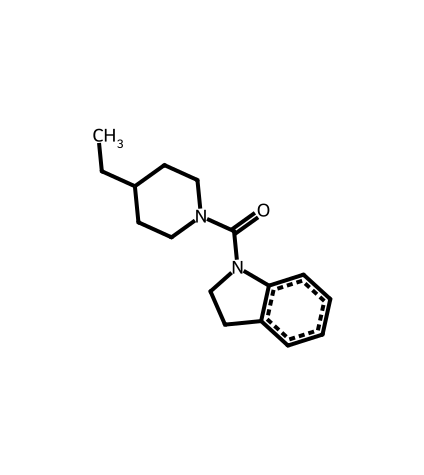 CCC1CCN(C(=O)N2CCc3ccccc32)CC1